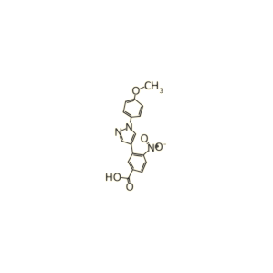 COc1ccc(-n2cc(-c3cc(C(=O)O)ccc3[N+](=O)[O-])cn2)cc1